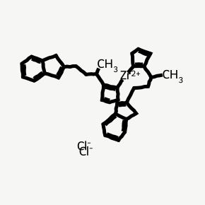 CC(CCC1=Cc2ccccc2C1)C1=[C]([Zr+2][C]2=C(C(C)CCC3=Cc4ccccc4C3)C=CC2)CC=C1.[Cl-].[Cl-]